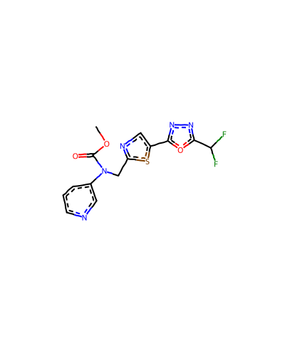 COC(=O)N(Cc1ncc(-c2nnc(C(F)F)o2)s1)c1cccnc1